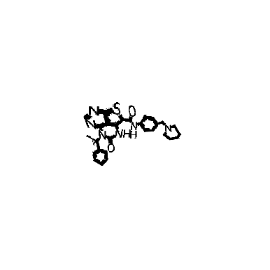 C[C@H](c1ccccc1)N1C(=O)Nc2c(C(=O)Nc3ccc(CN4CCCCC4)cc3)sc3ncnc1c23